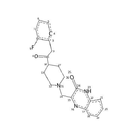 O=C(Cc1ccccc1F)C1CCN(Cc2nc3ccccc3[nH]c2=O)CC1